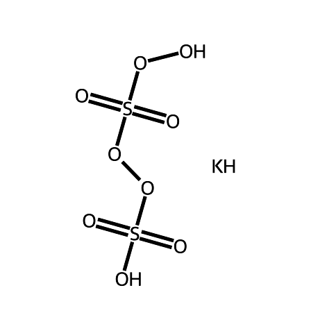 O=S(=O)(O)OOS(=O)(=O)OO.[KH]